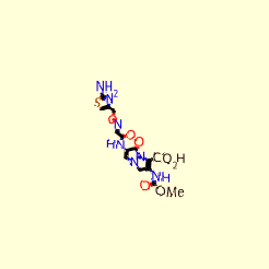 COC(=O)NC1=C(C(=O)O)N2C(=O)[C@@H](NC(=O)C=NOCc3csc(N)n3)CN2C1